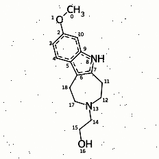 COc1ccc2c3c([nH]c2c1)CCN(CCO)CC3